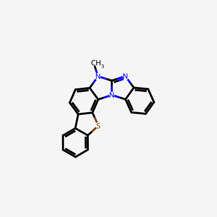 Cn1c2ccc3c4ccccc4sc3c2n2c3ccccc3nc12